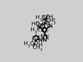 CC(C)Oc1ncccc1Nc1nccc(-c2cc(C#N)c3c(c2)[C@@](C)(CO)CN3C(=O)OC(C)(C)C)n1